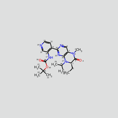 CC[C@@H]1C(=O)N(C)c2cnc(-c3ccncc3NC(=O)OC(C)(C)C)nc2N1C(C)C